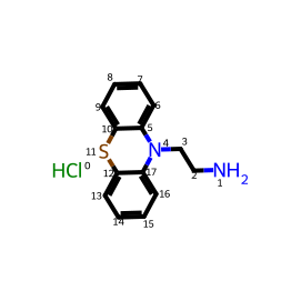 Cl.NCCN1c2ccccc2Sc2ccccc21